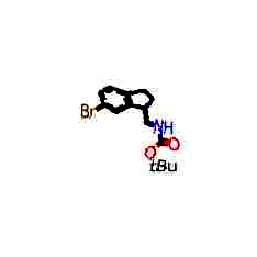 CC(C)(C)OC(=O)NCC1CCc2ccc(Br)cc21